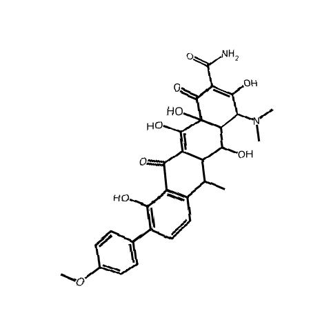 COc1ccc(-c2ccc3c(c2O)C(=O)C2=C(O)C4(O)C(=O)C(C(N)=O)=C(O)C(N(C)C)C4C(O)C2C3C)cc1